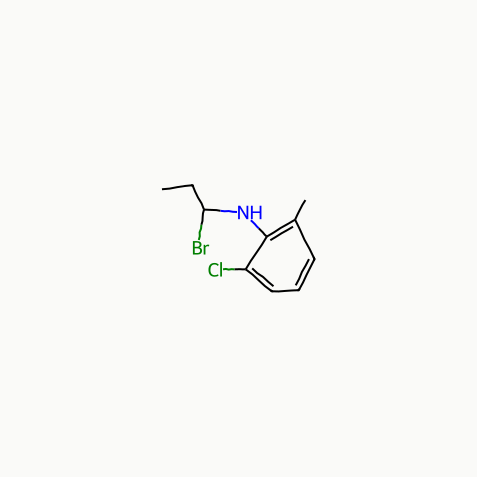 CCC(Br)Nc1c(C)cccc1Cl